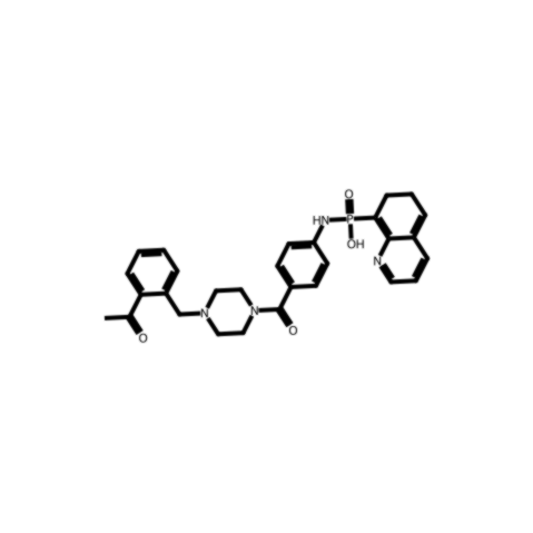 CC(=O)c1ccccc1CN1CCN(C(=O)c2ccc(NP(=O)(O)C3=c4ncccc4=CCC3)cc2)CC1